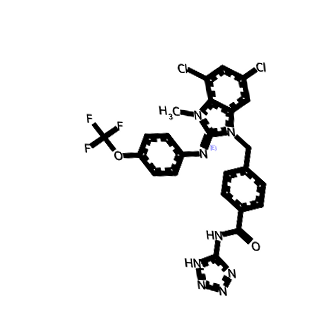 Cn1/c(=N\c2ccc(OC(F)(F)F)cc2)n(Cc2ccc(C(=O)Nc3nnn[nH]3)cc2)c2cc(Cl)cc(Cl)c21